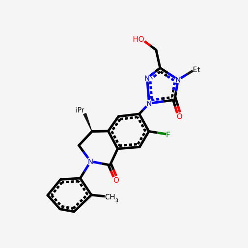 CCn1c(CO)nn(-c2cc3c(cc2F)C(=O)N(c2ccccc2C)C[C@H]3C(C)C)c1=O